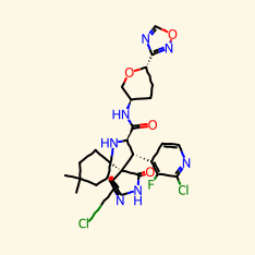 CC1(C)CCC2(CC1)N[C@@H](C(=O)N[C@@H]1CC[C@@H](c3ncon3)OC1)[C@H](c1ccnc(Cl)c1F)[C@]21C(=O)Nc2nc(Cl)ccc21